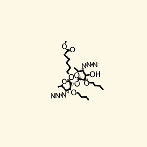 CCCCOC1[C@H](N=[N+]=[N-])C(C)O[C@H](OCCCCCC(=O)OC)[C@@H]1O[C@H]1OC(C)[C@@H](N=[N+]=[N-])C(O)[C@H]1OCCCC